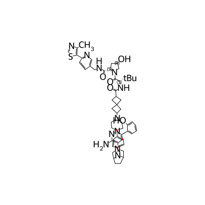 Cc1ncsc1-c1ccc(CNC(=O)[C@@H]2C[C@@H](O)CN2C(=O)[C@@H](NC(=O)C2CC3(C2)CC(N2CCC(c4ccc(N5C6CCC5CN(c5cc(-c7ccccc7O)nnc5N)C6)cc4)CC2)C3)C(C)(C)C)cn1